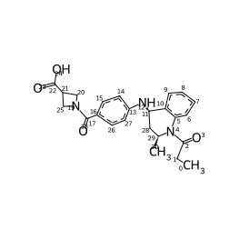 CCC(=O)N1c2ccccc2[C@H](Nc2ccc(C(=O)N3CC(C(=O)O)C3)cc2)C[C@@H]1C